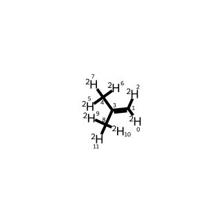 [2H]C([2H])=C(C([2H])([2H])[2H])C([2H])([2H])[2H]